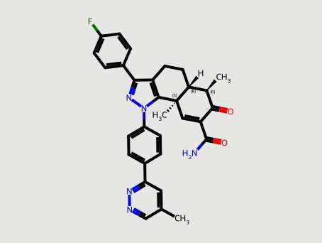 Cc1cnnc(-c2ccc(-n3nc(-c4ccc(F)cc4)c4c3[C@]3(C)C=C(C(N)=O)C(=O)[C@H](C)[C@H]3CC4)cc2)c1